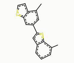 Cc1cc(-c2cc3cccc(C)c3s2)cc2sccc12